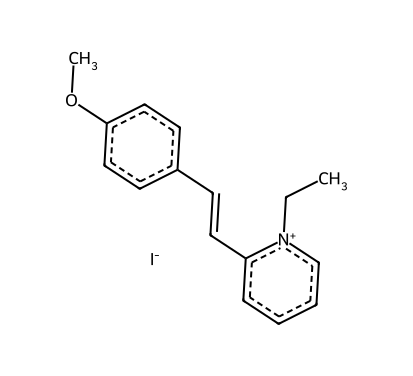 CC[n+]1ccccc1C=Cc1ccc(OC)cc1.[I-]